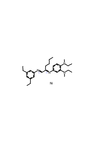 CCCCC(/C=N/c1cc(CC)cc(CC)c1)=N\c1ccc(N(C)CC)c(N(C)CC)c1.[Ni]